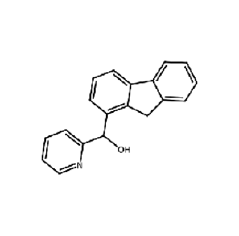 OC(c1ccccn1)c1cccc2c1Cc1ccccc1-2